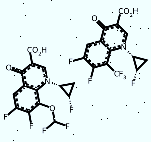 O=C(O)c1cn([C@@H]2C[C@@H]2F)c2c(C(F)(F)F)c(F)c(F)cc2c1=O.O=C(O)c1cn([C@@H]2C[C@@H]2F)c2c(OC(F)F)c(F)c(F)cc2c1=O